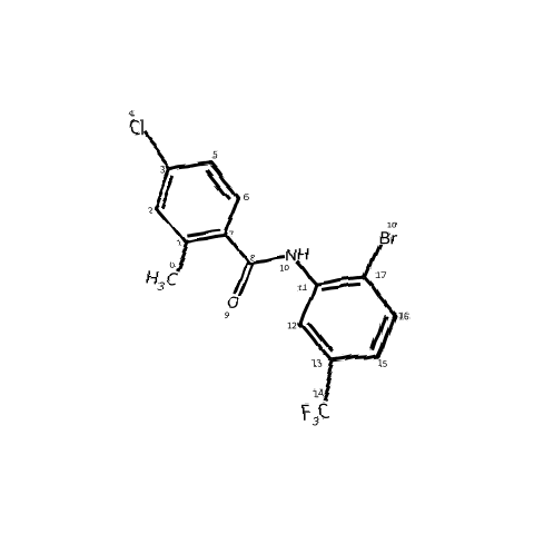 Cc1cc(Cl)ccc1C(=O)Nc1cc(C(F)(F)F)ccc1Br